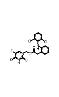 O=C(Cc1ccccc1Nc1c(Cl)cccc1Cl)OCn1cc(F)c(=O)[nH]c1=O